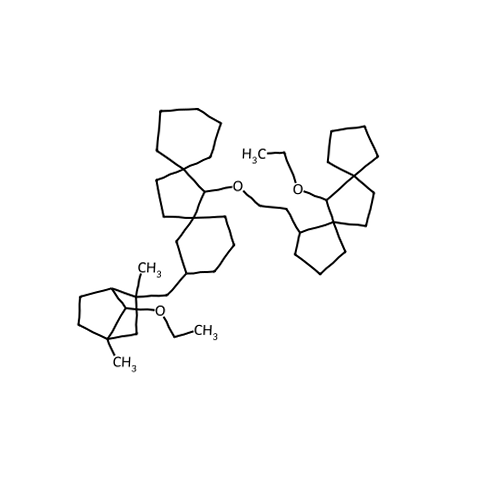 CCOC1C2CCC1(C)CC2(C)CC1CCCC2(CCC3(CCCCC3)C2OCCC2CCCC23CCC2(CCCC2)C3OCC)C1